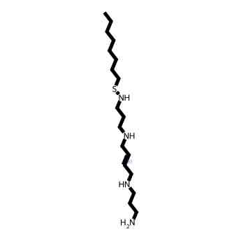 CCCCCCCCSNCCCNC/C=C/CNCCCN